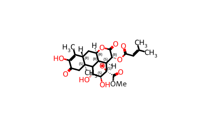 COC(=O)[C@@]12OC[C@]34C([C@@H](O)[C@@H]1O)[C@@]1(C)CC(=O)C(O)=C(C)[C@@H]1C[C@H]3OC(=O)[C@H](OC(=O)C=C(C)C)[C@@H]24